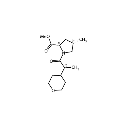 COC(=O)[C@@H]1C[C@H](C)CN1C(=O)[C@@H](C)C1CCOCC1